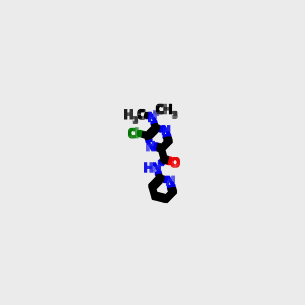 CN(C)c1ncc(C(=O)Nc2ccccn2)nc1Cl